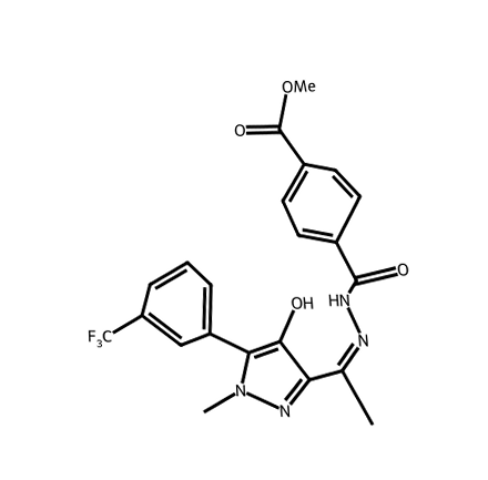 COC(=O)c1ccc(C(=O)N/N=C(/C)c2nn(C)c(-c3cccc(C(F)(F)F)c3)c2O)cc1